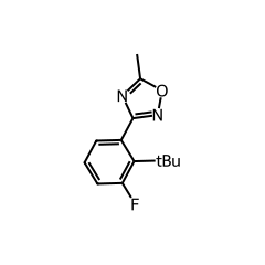 Cc1nc(-c2cccc(F)c2C(C)(C)C)no1